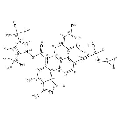 Cn1nc(N)c2c(Cl)ccc(-c3ccc(C#CC(C)(O)SC4CC4)nc3C(Cc3cc(F)cc(F)c3)NC(=O)Cn3nc(C(F)(F)F)c4c3C(F)(F)CC4)c21